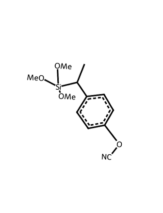 CO[Si](OC)(OC)C(C)c1ccc(OC#N)cc1